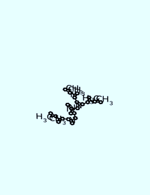 CC1(C)c2ccccc2-c2ccc(-n3c4ccccc4c4cc(-c5ccc6c(c5)c5ccccc5n6-c5cccc(-c6ccc7c8c(cccc68)-c6nc(-c8ccccc8)nc(-c8cccc(-n9c%10ccc(-c%11ccc%12c(c%11)c%11ccccc%11n%12-c%11ccc%12c(c%11)C(C)(C)c%11ccccc%11-%12)cc%10c%10cc(-c%11ccc%12c(c%11)c%11ccccc%11n%12-c%11ccc%12c(c%11)C(C)(C)c%11ccccc%11-%12)ccc%109)c8)c6-7)c5)ccc43)cc21